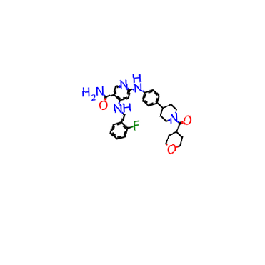 NC(=O)c1cnc(Nc2ccc(C3CCN(C(=O)C4CCOCC4)CC3)cc2)cc1NCc1ccccc1F